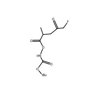 CC(CC(=O)CF)C(=O)ONC(=O)OC(C)(C)C